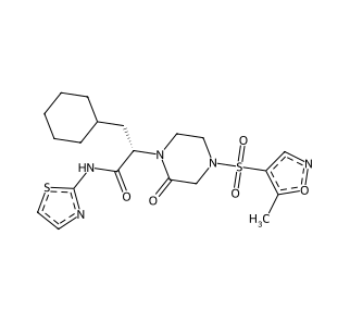 Cc1oncc1S(=O)(=O)N1CCN([C@@H](CC2CCCCC2)C(=O)Nc2nccs2)C(=O)C1